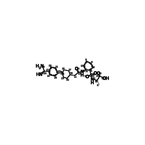 C[C@H](NS(=O)(=O)c1ccccc1NC(=O)CC1CCN(c2ccc(C(=N)N)cc2)CC1)C(=O)O